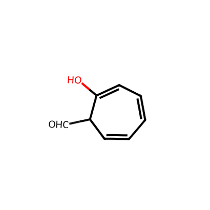 O=CC1C=CC=CC=C1O